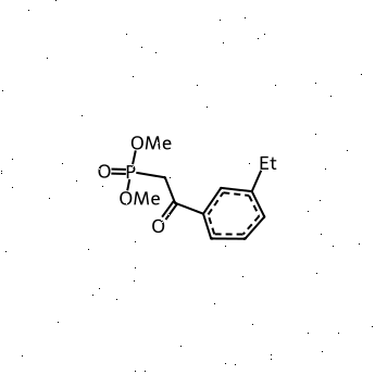 CCc1cccc(C(=O)CP(=O)(OC)OC)c1